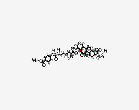 COC(=O)c1ccc(NC(=O)NCCCCC(N)C(=O)O[C@H]2[C@H](OC(C)=O)C[C@@]34COC[C@]2(C)[C@@H]3CC[C@H]2C4=CC[C@@]3(C)[C@H](C(=O)O)[C@@](C)([C@H](C)C(C)C)CC[C@]23C)cc1